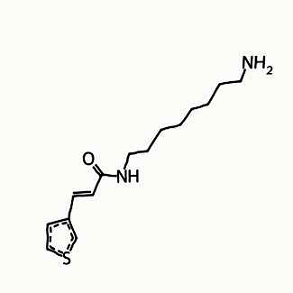 NCCCCCCCCNC(=O)C=Cc1ccsc1